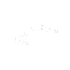 CC(C)(C#N)OC(=O)N1CC2CN(CCCS(=O)(=O)c3ccc(C#N)cc3)CC2C1